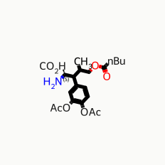 CCCCC(=O)OCC(C)C(c1ccc(OC(C)=O)c(OC(C)=O)c1)[C@H](N)C(=O)O